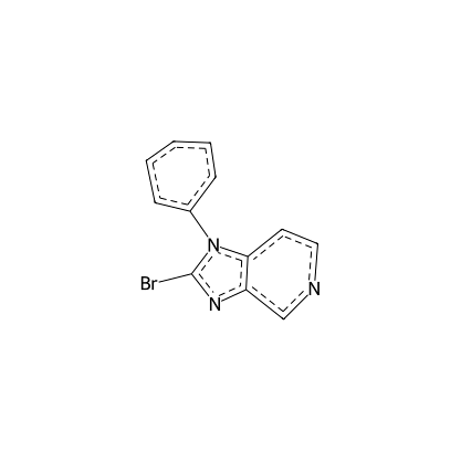 Brc1nc2cnccc2n1-c1ccccc1